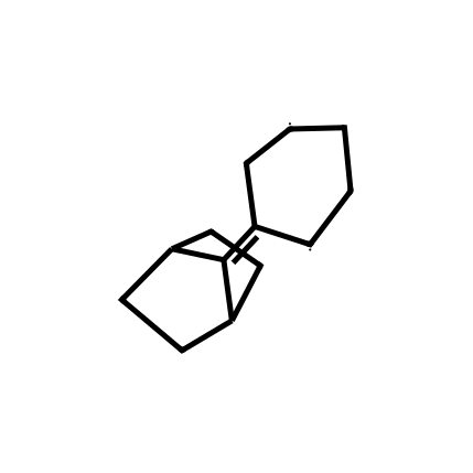 [CH]1CC[CH]C(=C2C3CCC2CC3)C1